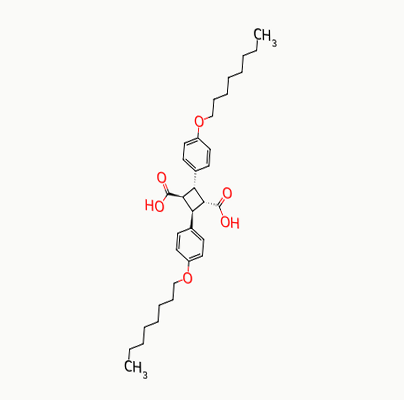 CCCCCCCCOc1ccc([C@H]2[C@H](C(=O)O)[C@H](c3ccc(OCCCCCCCC)cc3)[C@H]2C(=O)O)cc1